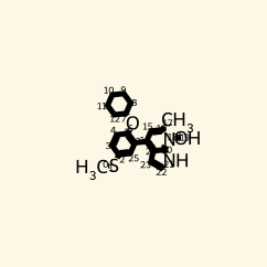 CSc1ccc(OC2CCCCC2)c(-c2cc(C)[n+](O)c3[nH]ccc23)c1